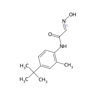 Cc1cc(C(C)(C)C)ccc1NC(=O)/C=N/O